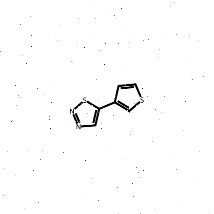 [c]1sccc1-c1cnns1